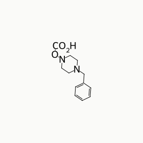 O=C(O)ON1CCN(Cc2ccccc2)CC1